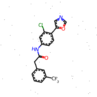 O=C(Cc1cccc(C(F)(F)F)c1)Nc1ccc(-c2cnco2)c(Cl)c1